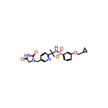 CC(C)(NS(=O)(=O)c1cccc(OCC2CC2)c1)c1ccc(CN2CC(=O)NC2=O)cn1